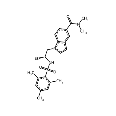 CC[C@@H](Cn1ccc2cc(C(=O)N(C)C)ccc21)NS(=O)(=O)c1c(C)cc(C)cc1C